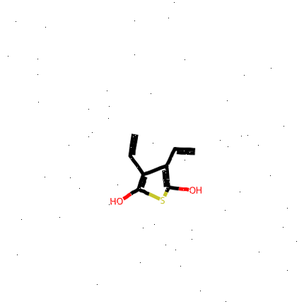 C=Cc1c(O)sc(O)c1C=C